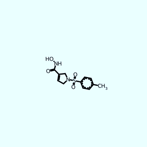 Cc1ccc(S(=O)(=O)N2CC=C(C(=O)NO)C2)cc1